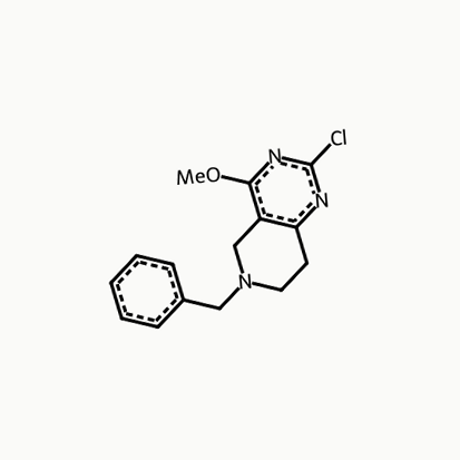 COc1nc(Cl)nc2c1CN(Cc1ccccc1)CC2